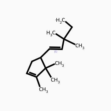 [CH2]CC(C)(C)/C=C/C1CC=C(C)C1(C)C